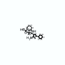 CC(C)(C)C1[C@@H](NC(=O)c2cc(-c3ccccc3)sc2N)CCCCN1C(=O)O